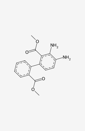 COC(=O)c1ccccc1-c1ccc(N)c(N)c1C(=O)OC